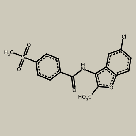 CS(=O)(=O)c1ccc(C(=O)Nc2c(C(=O)O)oc3ccc(Cl)cc23)cc1